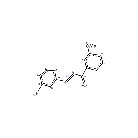 COc1cccc(C(=O)/C=C/c2cccc(F)c2)c1